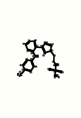 NS(=O)(=O)NCCn1nnc(-c2ccccc2Nc2ccc(C(F)(F)F)cc2)n1